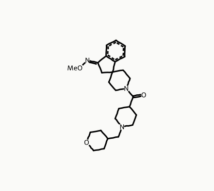 CO/N=C1\CC2(CCN(C(=O)C3CCN(CC4CCOCC4)CC3)CC2)c2ccccc21